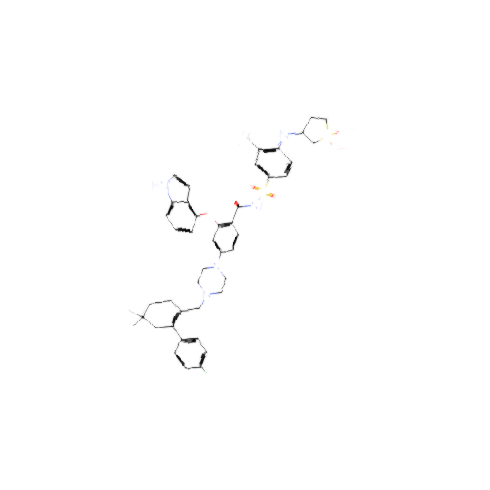 CC1(C)CCC(CN2CCN(c3ccc(C(=O)NS(=O)(=O)c4ccc(NC5CCS(O)(O)C5)c([N+](=O)[O-])c4)c(Oc4cccc5[nH]ccc45)c3)CC2)=C(c2ccc(Cl)cc2)C1